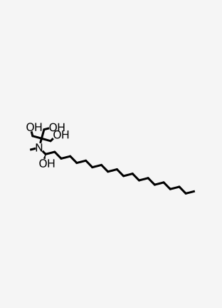 CCCCCCCCCCCCCCCCCCC[C@@H](O)N(C)C(CO)(CO)CO